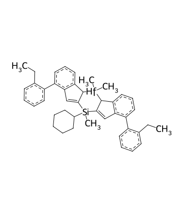 CCc1ccccc1-c1cccc2c1C=C1[CH]2[Hf]([CH3])([CH3])[CH]2C(=Cc3c(-c4ccccc4CC)cccc32)[Si]1(C)C1CCCCC1